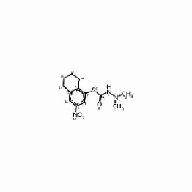 CN(C)NC(=O)Sc1cc([N+](=O)[O-])cc2c1CCCC2